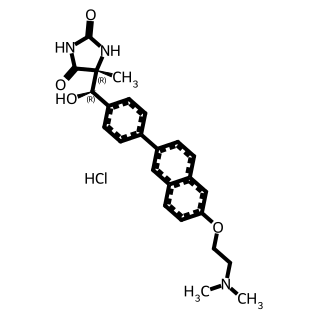 CN(C)CCOc1ccc2cc(-c3ccc([C@@H](O)[C@@]4(C)NC(=O)NC4=O)cc3)ccc2c1.Cl